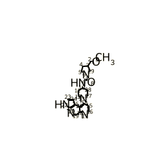 COCC1CCN(C(=O)NC2CCN(c3ccnc4cnc5[nH]ccc5c34)CC2)C1